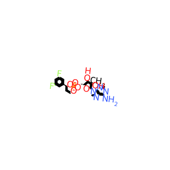 C[C@@]1(O)[C@H](O)[C@@H](COP2(=O)OCC[C@@H](c3cc(F)cc(F)c3)O2)O[C@H]1n1cnc2c(N)ncnc21